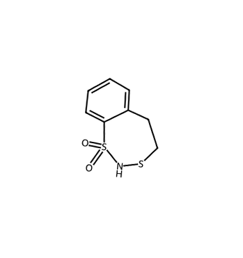 O=S1(=O)NSCCc2ccccc21